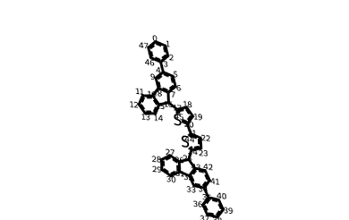 c1ccc(-c2ccc3c(c2)-c2ccccc2C3c2ccc(-c3ccc(C4c5ccccc5-c5cc(-c6ccccc6)ccc54)s3)s2)cc1